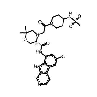 CC1(C)CN(CC(=O)N2CCC(NS(C)(=O)=O)CC2)[C@H](C(=O)Nc2cc(Cl)cc3c2[nH]c2cnccc23)CO1